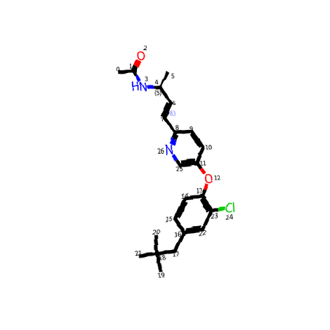 CC(=O)N[C@@H](C)/C=C/c1ccc(Oc2ccc(CC(C)(C)C)cc2Cl)cn1